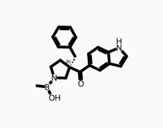 CB(O)N1CC[C@@](Cc2ccccc2)(C(=O)c2ccc3[nH]ccc3c2)C1